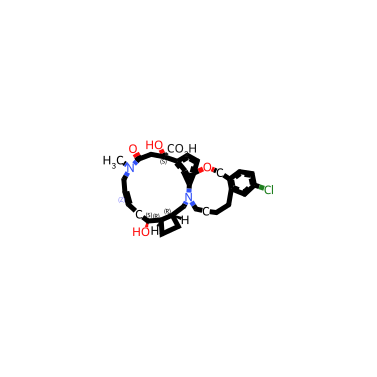 CN1C/C=C\C[C@H](O)[C@@H]2CC[C@H]2CN2CCCCc3cc(Cl)ccc3COc3ccc(cc32)[C@](O)(C(=O)O)CC1=O